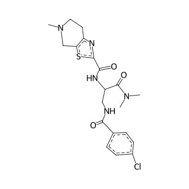 CN1CCc2nc(C(=O)NC(CNC(=O)c3ccc(Cl)cc3)C(=O)N(C)C)sc2C1